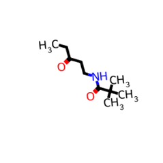 CCC(=O)CCNC(=O)C(C)(C)C